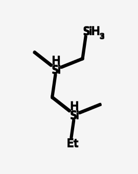 CC[SiH](C)C[SiH](C)C[SiH3]